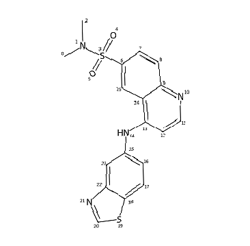 CN(C)S(=O)(=O)c1ccc2nccc(Nc3ccc4scnc4c3)c2c1